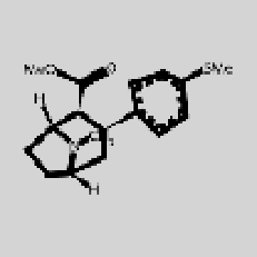 COC(=O)[C@H]1[C@@H](c2ccc(SC)cc2)C[C@@H]2CC[C@H]1N2C